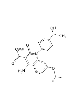 COC(=O)c1c(N)c2ccc(OC(F)F)cc2n(-c2ccc(C(C)O)cc2)c1=O